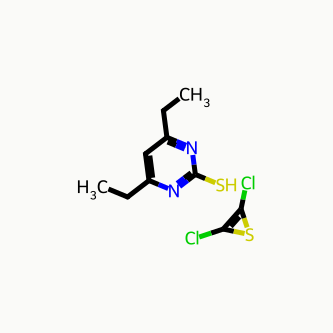 CCc1cc(CC)nc(S)n1.ClC1=C(Cl)S1